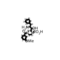 COc1cccc(C(=O)N2CCN(C(=O)O)[C@@H]([C@@H](O)[C@H](N)Cc3ccccc3)C2)c1